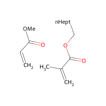 C=C(C)C(=O)OCCCCCCCC.C=CC(=O)OC